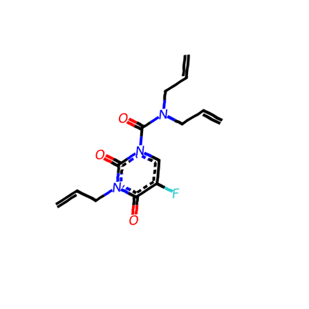 C=CCN(CC=C)C(=O)n1cc(F)c(=O)n(CC=C)c1=O